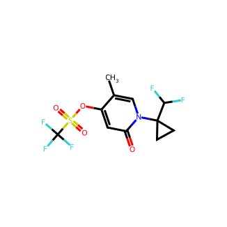 Cc1cn(C2(C(F)F)CC2)c(=O)cc1OS(=O)(=O)C(F)(F)F